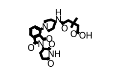 CC(C)(CC(=O)O)CC(=O)NC1CCN(c2cccc3c2C(=O)N(C2CCC(=O)NC2=O)C3=O)CC1